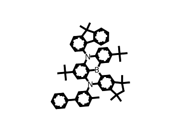 Cc1ccc(-c2ccccc2)cc1N1c2cc3c(cc2B2c4cc(C(C)(C)C)ccc4N(c4cccc5c4-c4ccccc4C5(C)C)c4cc(C(C)(C)C)cc1c42)C(C)(C)CC3(C)C